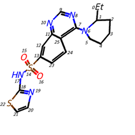 CCC1CCCCN1c1ncnc2cc(S(=O)(=O)Nc3nccs3)ccc12